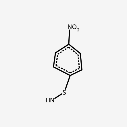 [NH]Sc1ccc([N+](=O)[O-])cc1